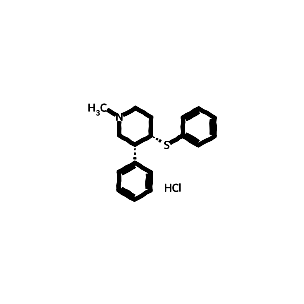 CN1CC[C@H](Sc2ccccc2)[C@H](c2ccccc2)C1.Cl